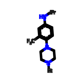 CCN1CCN(c2ccc(NC(C)C)cc2C(F)(F)F)CC1